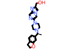 C[C@@H](c1ccc2c(c1)OCC2)N1CCN(c2cn3cc(CO)nc3cn2)CC1